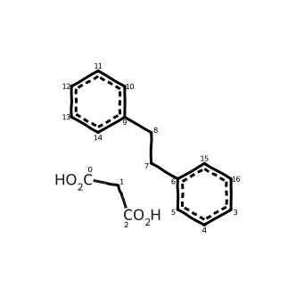 O=C(O)CC(=O)O.c1ccc(CCc2ccccc2)cc1